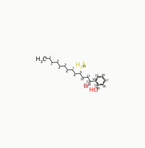 CCCCCCCCCCCCC(Br)c1ccccc1O.S